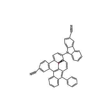 N#Cc1ccc(-c2ccc(-n3c4ccccc4c4cc(C#N)ccc43)cc2)c(-c2c3ccccc3c(-c3ccccc3)c3ccccc23)c1